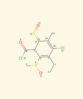 CCC1=C([S+](C)[O-])C(C(=O)Cl)C(=S=O)C(C)=C1Cl